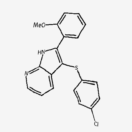 COc1ccccc1-c1[nH]c2ncccc2c1Sc1ccc(Cl)cc1